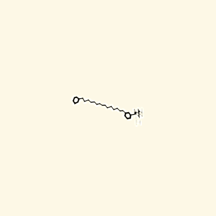 c1ccc(CCCCCCCCCCCCCCCc2cccc(-c3nnn[nH]3)c2)cc1